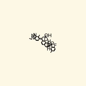 CCn1nnc2c(C)c([C@@H](CC(=O)O)c3ccc4c(c3)[C@@H]3CC[C@H](C4)N3C(=O)c3cc(C)ccc3F)ccc21